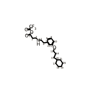 O=C(CCNCCc1cccc(OCCCC2CCCCC2)c1)OC(=O)C(F)(F)F